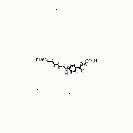 CCCCCCCCCCCCCCCCNc1ccc(C(=O)OCC(=O)O)cc1